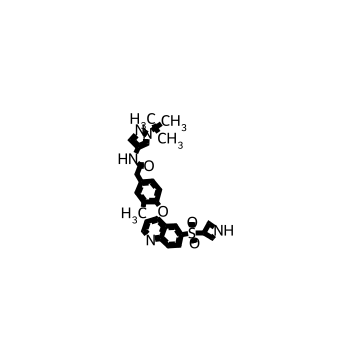 Cc1cc(CC(=O)Nc2cnn(C(C)(C)C)c2)ccc1Oc1ccnc2ccc(S(=O)(=O)C3CNC3)cc12